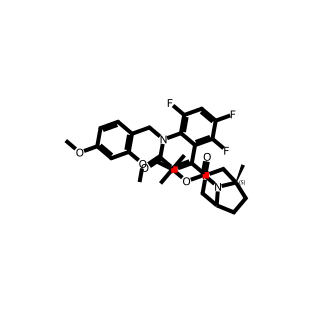 COc1ccc(Cn2c(=O)nc(N3CC4CC[C@@](C)(C3)N4C(=O)OC(C)(C)C)c3c(F)c(F)cc(F)c32)c(OC)c1